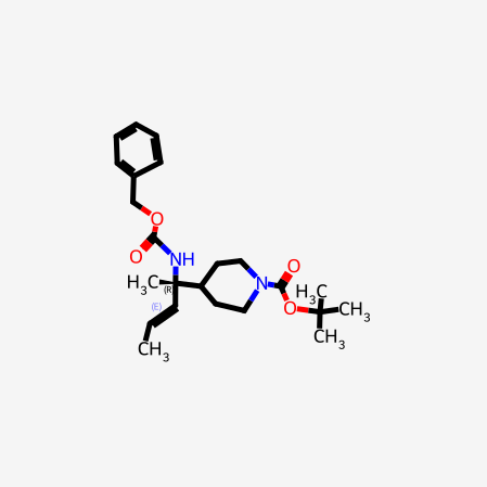 C/C=C/[C@](C)(NC(=O)OCc1ccccc1)C1CCN(C(=O)OC(C)(C)C)CC1